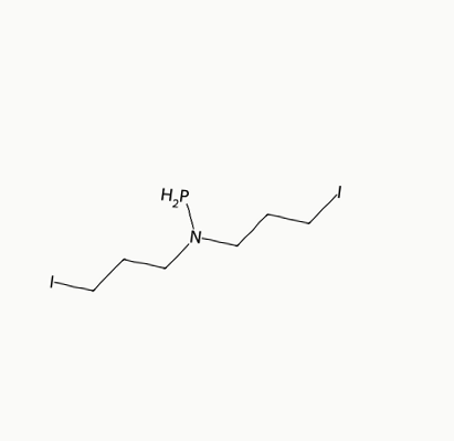 PN(CCCI)CCCI